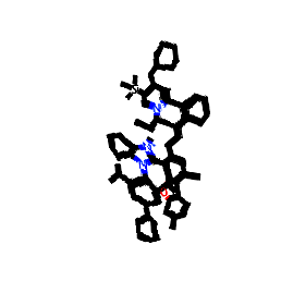 C=CC1C(CCc2cc(C)c3c(oc4cc(C)ccc43)c2-c2n(-c3c(C(C)C)cc(-c4ccccc4)cc3C(C)C)c3ccccc3[n+]2C)c2ccccc2-c2cc(CC3CCCCC3)c([Si](C)(C)C)c[n+]21